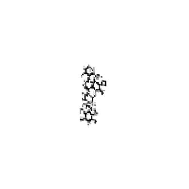 Cc1ccnc(C(C)C)c1N1CN=C(N2CCN(S(=O)(=O)c3c(F)c(F)c(F)c(F)c3F)C[C@@H]2C)c2cc(F)c(Cl)nc21